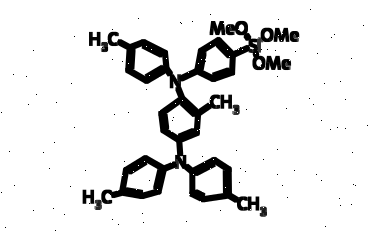 CO[Si](OC)(OC)c1ccc(N(c2ccc(C)cc2)c2ccc(N(c3ccc(C)cc3)c3ccc(C)cc3)cc2C)cc1